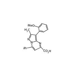 COc1ccccc1-c1c(C)nn2c(C(C)C)cc(C(=O)O)nc12